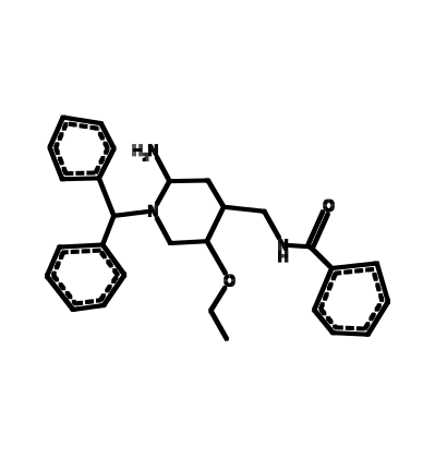 CCOC1CN(C(c2ccccc2)c2ccccc2)C(N)CC1CNC(=O)c1ccccc1